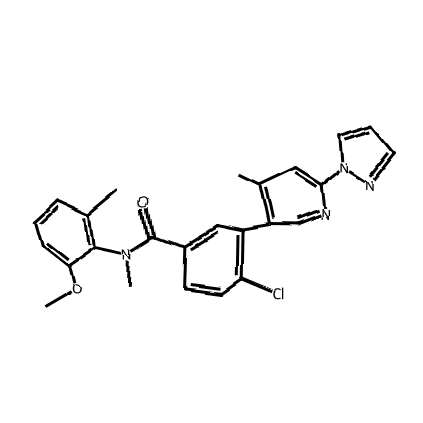 COc1cccc(C)c1N(C)C(=O)c1ccc(Cl)c(-c2cnc(-n3cccn3)cc2C)c1